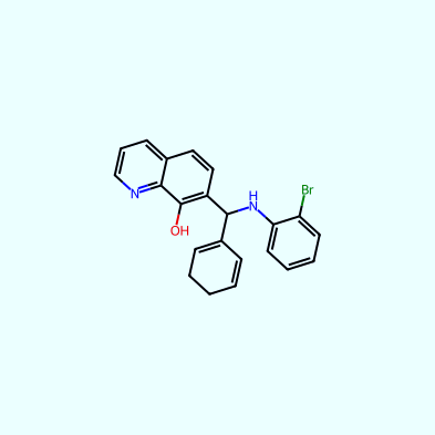 Oc1c(C(Nc2ccccc2Br)C2=CCCC=C2)ccc2cccnc12